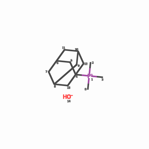 C[P+](C)(C)C12CC3CC(CC(C3)C1)C2.[OH-]